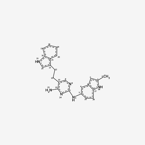 Cc1cc2cc(Nc3ncc(CCc4c[nH]c5ccccc45)c(N)n3)ccc2[nH]1